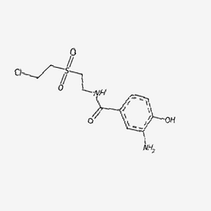 Nc1cc(C(=O)NCCS(=O)(=O)CCCl)ccc1O